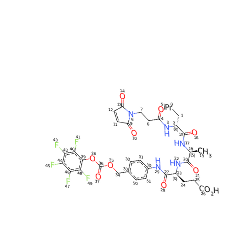 CC(C)C[C@@H](NC(=O)CCN1C(=O)C=CC1=O)C(=O)N[C@@H](C)C(=O)N[C@@H](CCC(=O)O)C(=O)Nc1ccc(COC(=O)Oc2c(F)c(F)c(F)c(F)c2F)cc1